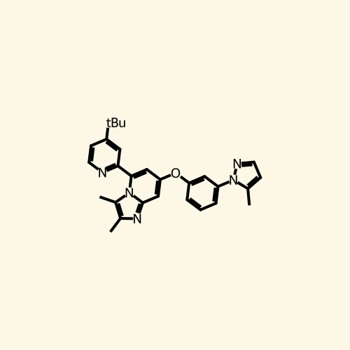 Cc1nc2cc(Oc3cccc(-n4nccc4C)c3)cc(-c3cc(C(C)(C)C)ccn3)n2c1C